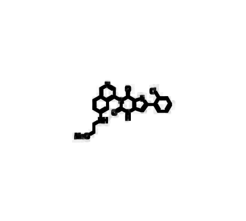 COCCNc1ccc2cncc(-n3c(=O)[nH]c4cc(-c5ccccc5Cl)sc4c3=O)c2c1